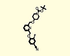 CC(C)(C)OC(=O)N1CCC(OCc2cccc(COc3ccc(C#N)cc3F)n2)CC1